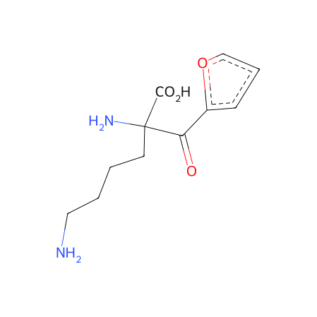 NCCCCC(N)(C(=O)O)C(=O)c1ccco1